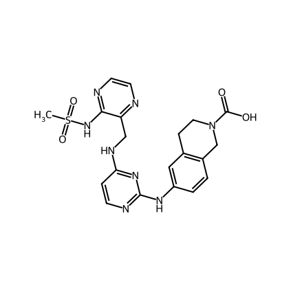 CS(=O)(=O)Nc1nccnc1CNc1ccnc(Nc2ccc3c(c2)CCN(C(=O)O)C3)n1